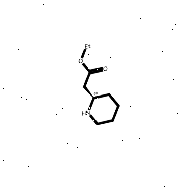 CCOC(=O)C[C@H]1CCCCN1